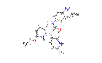 CN/C=C1/C=C(n2cc3ccc(OCC(F)(F)F)nc3c(-c3ccc(C(F)(F)F)nc3)c2=O)C=CC1=N